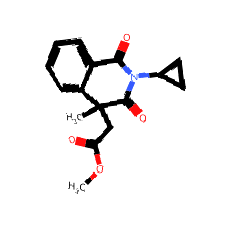 COC(=O)CC1(C)C(=O)N(C2CC2)C(=O)c2ccccc21